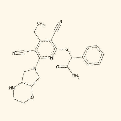 CCc1c(C#N)c(SC(C(N)=O)c2ccccc2)nc(N2CC3NCCOC3C2)c1C#N